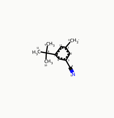 [CH2]c1cc(C#N)cc(C(C)(C)C)c1